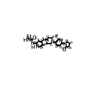 CCNC(=O)Nc1cc(CN2CCN(c3ccc(N4CCCC4=O)nc3F)CC2)ccn1